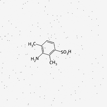 Cc1ccc(S(=O)(=O)O)c(C)c1N